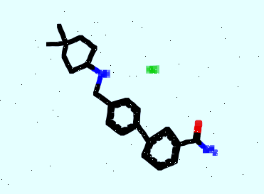 CC1(C)CCC(NCc2ccc(-c3cccc(C(N)=O)c3)cc2)CC1.Cl